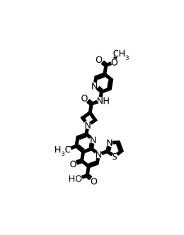 COC(=O)c1ccc(NC(=O)C2CN(c3cc(C)c4c(=O)c(C(=O)O)cn(-c5nccs5)c4n3)C2)nc1